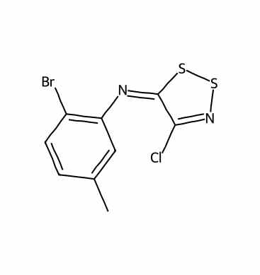 Cc1ccc(Br)c(/N=c2/ssnc2Cl)c1